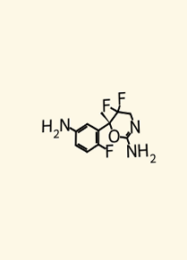 C[C@]1(c2cc(N)ccc2F)OC(N)=NCC1(F)F